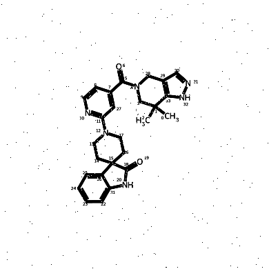 CC1(C)CN(C(=O)c2ccnc(N3CCC4(CC3)C(=O)Nc3ccccc34)c2)Cc2cn[nH]c21